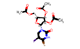 CC(=O)OC[C@H]1O[C@@H](n2cc(I)c(=S)[nH]c2=O)[C@H](OC(C)=O)[C@@H]1OC(C)=O